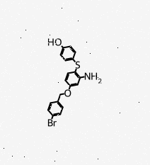 Nc1cc(OCc2ccc(Br)cc2)ccc1Sc1ccc(O)cc1